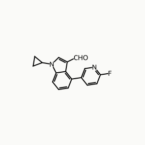 O=Cc1cn(C2CC2)c2cccc(-c3ccc(F)nc3)c12